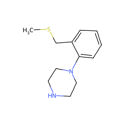 CSCc1ccccc1N1CCNCC1